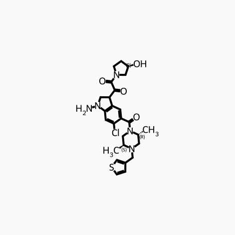 C[C@@H]1CN(Cc2ccsc2)[C@@H](C)CN1C(=O)c1cc2c(cc1Cl)N(N)CC2C(=O)C(=O)N1CC[C@@H](O)C1